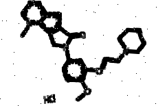 COc1ccc(N2Cc3c(cc4cccn(C)c3-4)C2=O)cc1OCCN1CCCCC1.Cl